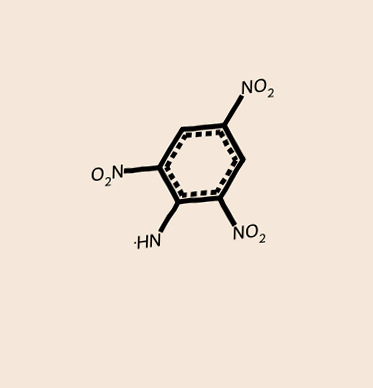 [NH]c1c([N+](=O)[O-])cc([N+](=O)[O-])cc1[N+](=O)[O-]